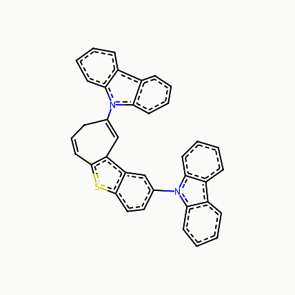 C1=Cc2sc3ccc(-n4c5ccccc5c5ccccc54)cc3c2C=C(n2c3ccccc3c3ccccc32)C1